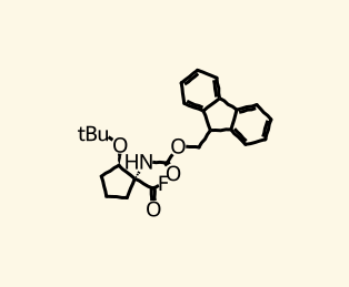 CC(C)(C)O[C@@H]1CCC[C@]1(NC(=O)OCC1c2ccccc2-c2ccccc21)C(=O)F